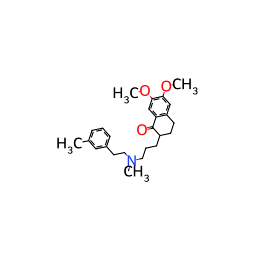 COc1cc2c(cc1OC)C(=O)C(CCCN(C)CCc1cccc(C)c1)CC2